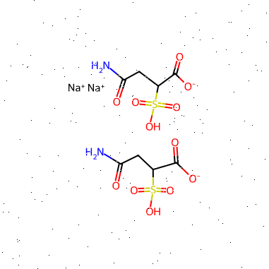 NC(=O)CC(C(=O)[O-])S(=O)(=O)O.NC(=O)CC(C(=O)[O-])S(=O)(=O)O.[Na+].[Na+]